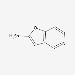 [SnH3][c]1cc2cnccc2o1